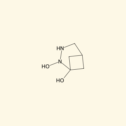 ON1NCC2CC1(O)C2